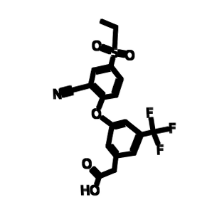 CCS(=O)(=O)c1ccc(Oc2cc(CC(=O)O)cc(C(F)(F)F)c2)c(C#N)c1